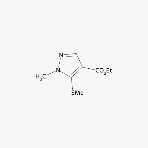 CCOC(=O)c1cnn(C)c1SC